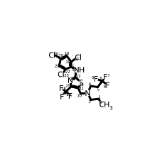 CCCN(CCC(F)(F)F)Cc1sc(Nc2c(Cl)cc(Cl)cc2Cl)nc1C(F)(F)F